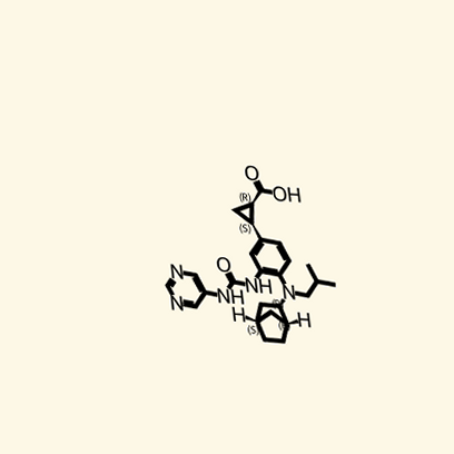 CC(C)CN(c1ccc([C@H]2C[C@H]2C(=O)O)cc1NC(=O)Nc1cncnc1)[C@@H]1C[C@H]2CC[C@@H]1C2